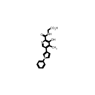 Cc1c(-c2ccn(-c3ccccc3)c2)cnc(C(=O)NCC(=O)O)c1O